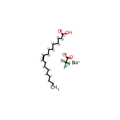 CCCCCCCC/C=C\CCCCCCCC(=O)O.O=C([O-])C(F)(F)F.[Na+]